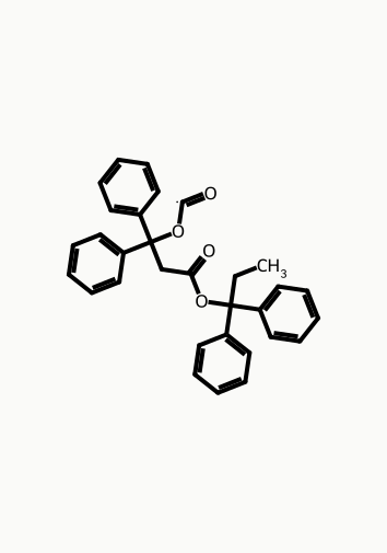 CCC(OC(=O)CC(O[C]=O)(c1ccccc1)c1ccccc1)(c1ccccc1)c1ccccc1